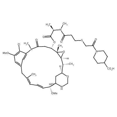 COc1cc2cc(c1Cl)N(C)C(=O)C[C@H](OC(=O)[C@@H](C)N(C)C(=O)CCSCC(=O)N1CCC(C(=O)O)CC1)[C@]1(C)O[C@H]1[C@H](C)[C@@H]1C[C@@](O)(NCO1)[C@H](OC)/C=C/C=C(\C)C2